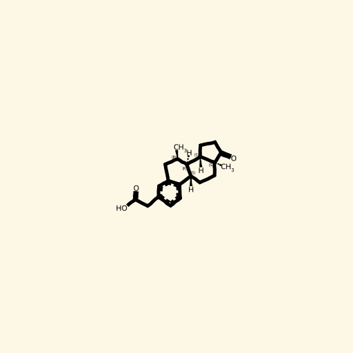 C[C@@H]1Cc2cc(CC(=O)O)ccc2[C@H]2CC[C@]3(C)C(=O)CC[C@H]3[C@H]12